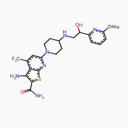 COc1cccc(C(O)CNC2CCN(c3cc(C(F)(F)F)c4c(N)c(C(N)=O)sc4n3)CC2)n1